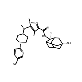 Cc1c(C(=O)N[C@H]2C3CC4CC2C[C@](O)(C4)C3)nn(C)c1N(C)C1CCN(c2ccc(C#N)cn2)CC1